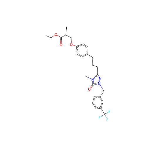 CCOC(=O)C(C)COc1ccc(CCCc2nn(Cc3cccc(C(F)(F)F)c3)c(=O)n2C)cc1